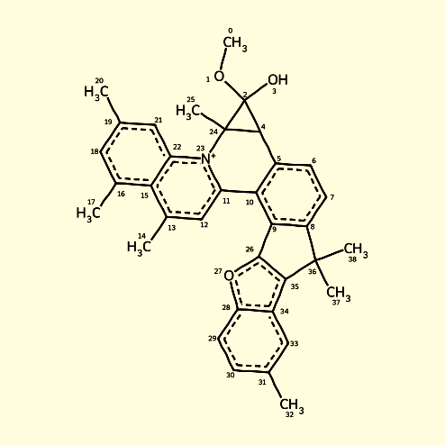 COC1(O)C2c3ccc4c(c3-c3cc(C)c5c(C)cc(C)cc5[n+]3C21C)-c1oc2ccc(C)cc2c1C4(C)C